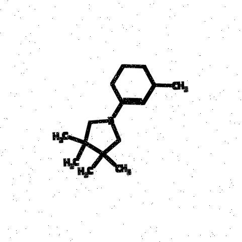 CC1C=C(B2CC(C)(C)C(C)(C)C2)CCC1